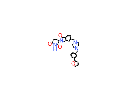 O=C1CCC(N2Cc3cc(CN4CCN(Cc5cccc(-c6ccco6)c5)CC4)ccc3C2=O)C(=O)N1